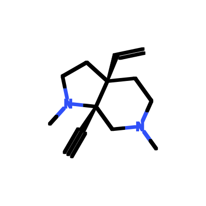 C#C[C@]12CN(C)CC[C@@]1(C=C)CCN2C